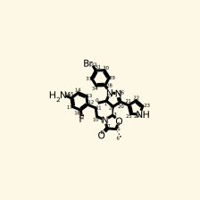 CC1C([C@H]2O[C@H](C)C(=O)N2CCc2ccc(N)cc2F)C(c2cc[nH]c2)=NN1c1ccc(Br)cc1